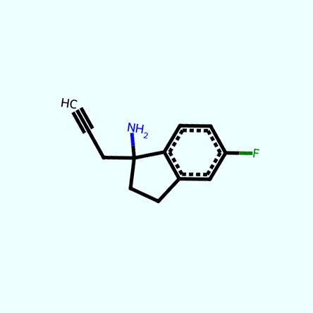 C#CCC1(N)CCc2cc(F)ccc21